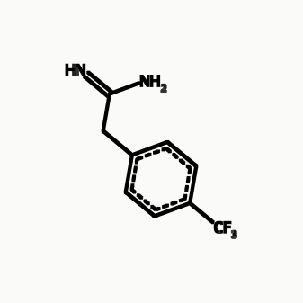 N=C(N)Cc1ccc(C(F)(F)F)cc1